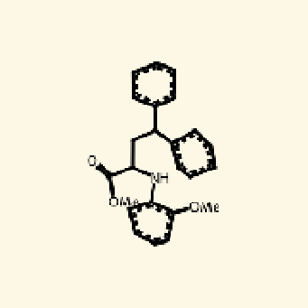 COC(=O)C(CC(c1ccccc1)c1ccccc1)Nc1ccccc1OC